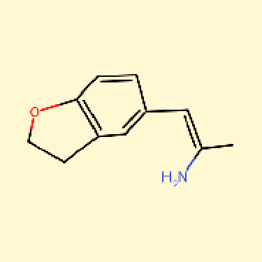 CC(N)=Cc1ccc2c(c1)CCO2